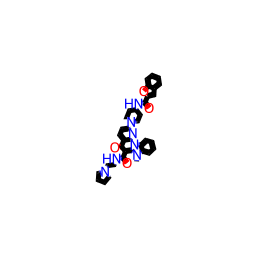 Cn1c2ccccc2n2c3nc(N4CCC(NC(=O)c5cc6ccccc6o5)CC4)ccc3c(=O)c(C(=O)NCCN3CCCC3)c12